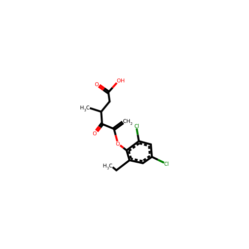 C=C(Oc1c(Cl)cc(Cl)cc1CC)C(=O)C(C)CC(=O)O